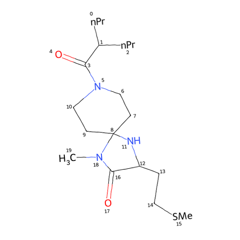 CCCC(CCC)C(=O)N1CCC2(CC1)NC(CCSC)C(=O)N2C